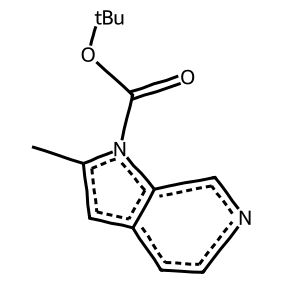 Cc1cc2ccncc2n1C(=O)OC(C)(C)C